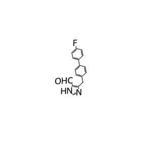 O=Cc1[nH]cnc1Cc1ccc(-c2ccc(F)cc2)cc1